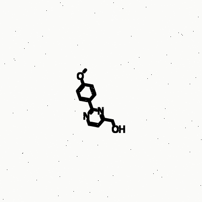 COc1ccc(-c2nccc(CO)n2)cc1